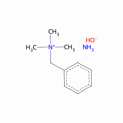 C[N+](C)(C)Cc1ccccc1.N.[OH-]